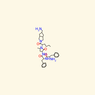 CCCCC(C(=O)N1CC2CC(CN)CC2C1)N1C(=O)C(NC(=O)C(Cc2ccccc2)NC(=O)C(N)Cc2ccccc2)CC1C